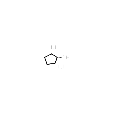 Cl.N[C@H]1CCC[C@@H]1O